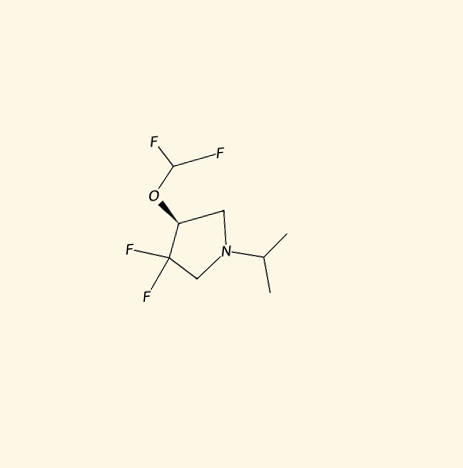 CC(C)N1C[C@H](OC(F)F)C(F)(F)C1